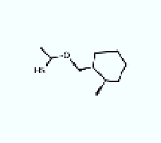 CC(S)OC[C@H]1CCCC[C@H]1C